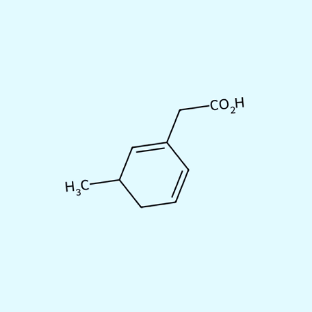 CC1C=C(CC(=O)O)C=CC1